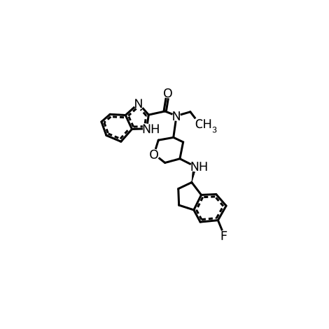 CCN(C(=O)c1nc2ccccc2[nH]1)C1COCC(N[C@@H]2CCc3cc(F)ccc32)C1